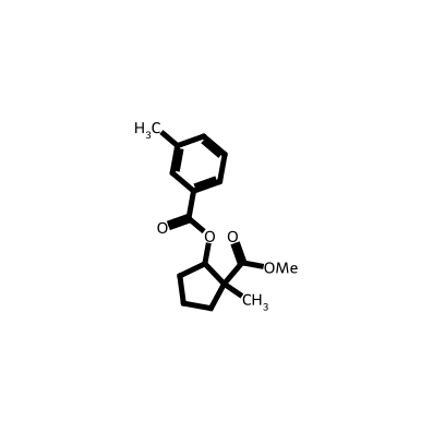 COC(=O)C1(C)CCCC1OC(=O)c1cccc(C)c1